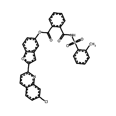 Cc1ccccc1S(=O)(=O)NC(=O)c1ccccc1C(=O)Oc1ccc2oc(-c3ccc4ccc(Cl)cc4n3)cc2c1